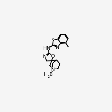 B[N+]12CCC(CC1)C1(CN=C(Nc3nc4c(C)cccc4s3)O1)C2